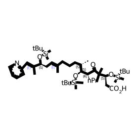 CCC[C@@H](C(=O)C(C)(C)[C@H](CC(=O)O)O[Si](C)(C)C(C)(C)C)[C@@H](O[Si](C)(C)C(C)(C)C)[C@@H](C)CCC/C(C)=C/C[C@H](O[Si](C)(C)C(C)(C)C)/C(C)=C/c1ccccn1